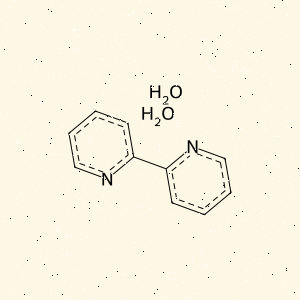 O.O.c1ccc(-c2ccccn2)nc1